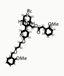 COc1ccccc1COCCCOc1ccc(C2=C(COC(=O)Cc3ccccc3OC)[C@H]3CN(C(C)=O)C[C@@H](C2)N3)cn1